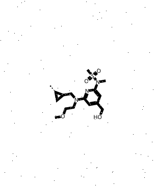 COCCN(CC1C[C@@H]1C)c1cc(CO)cc(N(C)S(C)(=O)=O)n1